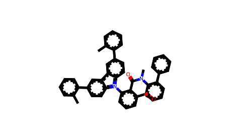 Cc1ccccc1-c1ccc2c(c1)c1cc(-c3ccccc3C)ccc1n2-c1cccc(C=O)c1C(=O)N(C)c1ccccc1-c1ccccc1